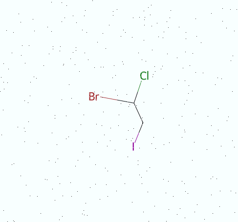 ClC(Br)CI